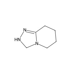 C1CCN2CNN=C2C1